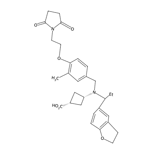 CCC(c1ccc2c(c1)CCO2)N(Cc1ccc(OCCN2C(=O)CCC2=O)c(C)c1)[C@H]1C[C@@H](C(=O)O)C1